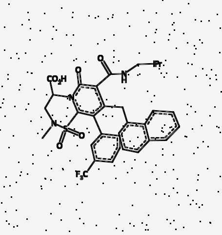 CC(C)CNC(=O)c1c(Cc2cccc3ccccc23)c(-c2cccc(C(F)(F)F)c2)c2n(c1=O)C(C(=O)O)CN(C)S2(=O)=O